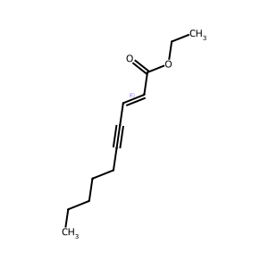 CCCCCC#C/C=C/C(=O)OCC